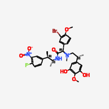 COc1ccc([C@H](C(=O)N[C@H](C)[C@H](C)c2ccc(F)c([N+](=O)[O-])c2)N(C)C[C@H](C)c2cc(O)c(OC)c(O)c2)cc1Br